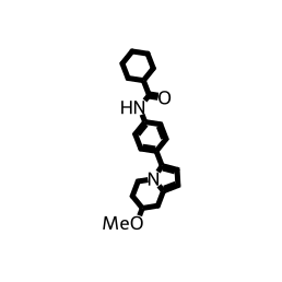 COC1CCn2c(ccc2-c2ccc(NC(=O)C3CCCCC3)cc2)C1